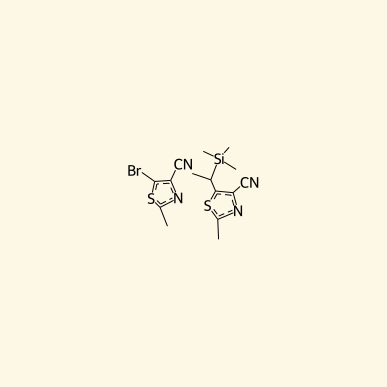 Cc1nc(C#N)c(Br)s1.Cc1nc(C#N)c(C(C)[Si](C)(C)C)s1